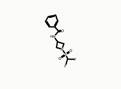 O=C(NC1CN(S(=O)(=O)C(F)F)C1)c1ccccc1